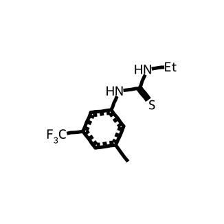 CCNC(=S)Nc1cc(C)cc(C(F)(F)F)c1